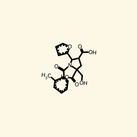 Cc1ccccc1C(=O)N1C(c2ccco2)C(C(=O)O)CC1(CO)C(=O)O